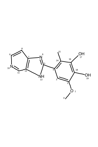 COc1cc(-c2nc3ccncc3[nH]2)c(C)c(O)c1O